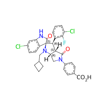 O=C(O)c1ccc(N2C[C@H]3[C@@H](C2=O)[C@H](c2cccc(Cl)c2F)[C@]2(C(=O)Nc4cc(Cl)ccc42)N3CC2CCC2)cc1